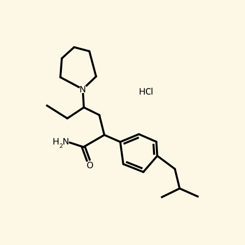 CCC(CC(C(N)=O)c1ccc(CC(C)C)cc1)N1CCCCC1.Cl